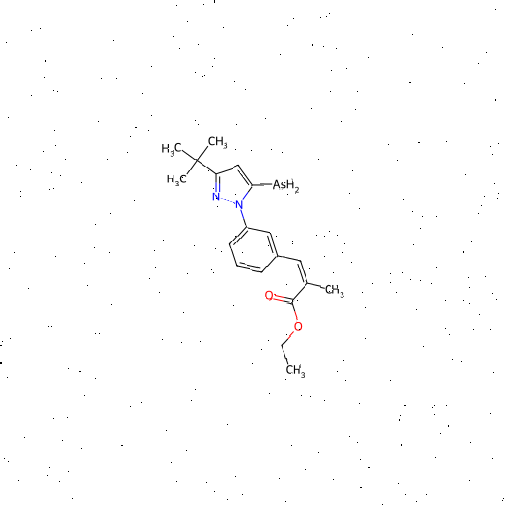 CCOC(=O)C(C)=Cc1cccc(-n2nc(C(C)(C)C)cc2[AsH2])c1